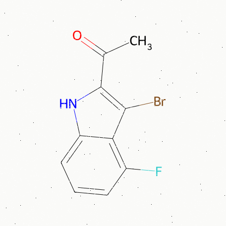 CC(=O)c1[nH]c2cccc(F)c2c1Br